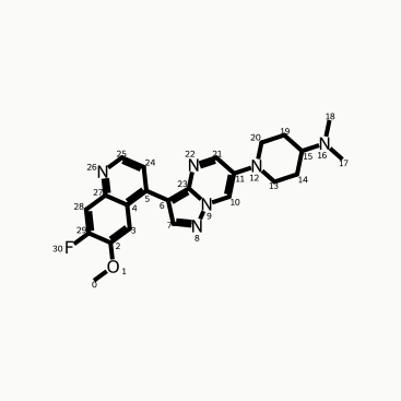 COc1cc2c(-c3cnn4cc(N5CCC(N(C)C)CC5)cnc34)ccnc2cc1F